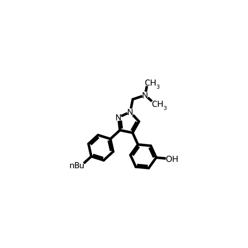 CCCCc1ccc(-c2nn(CN(C)C)cc2-c2cccc(O)c2)cc1